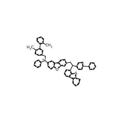 Cc1ccccc1-c1cc(C[C@H](c2ccccc2)c2ccc3oc4cc(CC(c5ccc(-c6ccccc6)cc5)c5cccc6c5sc5ccccc56)ccc4c3c2)ccc1C